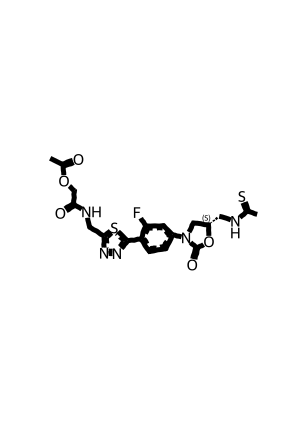 CC(=O)OCC(=O)NCc1nnc(-c2ccc(N3C[C@H](CNC(C)=S)OC3=O)cc2F)s1